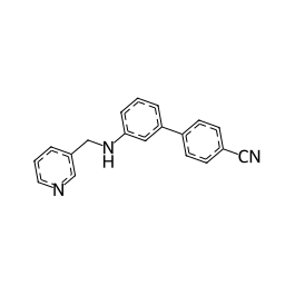 N#Cc1ccc(-c2cccc(NCc3cccnc3)c2)cc1